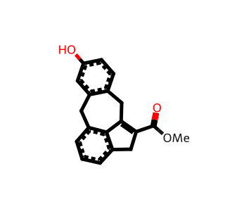 COC(=O)C1=C2Cc3ccc(O)cc3Cc3cccc(c32)C1